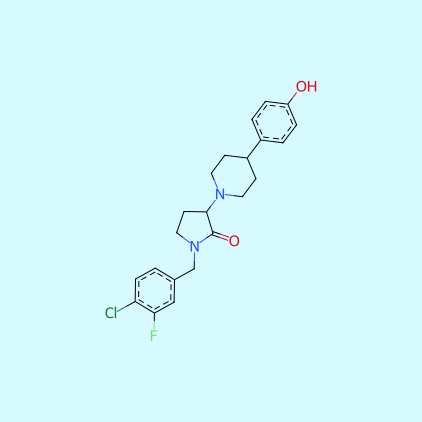 O=C1C(N2CCC(c3ccc(O)cc3)CC2)CCN1Cc1ccc(Cl)c(F)c1